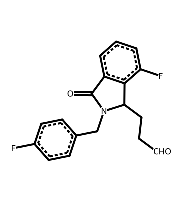 O=CCCC1c2c(F)cccc2C(=O)N1Cc1ccc(F)cc1